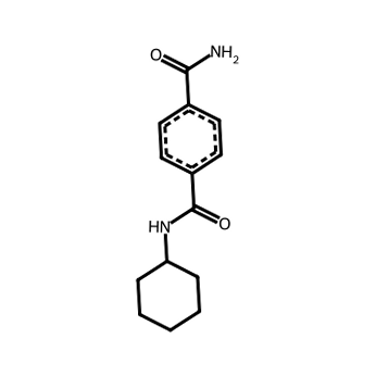 NC(=O)c1ccc(C(=O)NC2CCCCC2)cc1